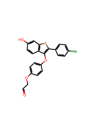 O=CCOc1ccc(Oc2c(-c3ccc(Br)cc3)sc3cc(O)ccc23)cc1